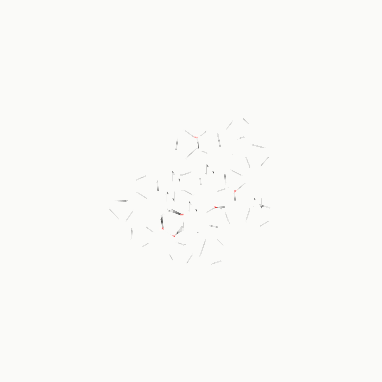 c1ccc(-c2nc(N3c4ccccc4C(c4ccccc4)(c4ccccc4)c4ccccc43)c(N3c4ccccc4C(c4ccccc4)(c4ccccc4)c4ccccc43)c(-c3ccc(-c4ccccn4)cc3)c2N2c3ccccc3C(c3ccccc3)(c3ccccc3)c3ccccc32)cc1